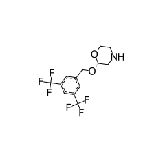 FC(F)(F)c1cc(CO[C@H]2CNCCO2)cc(C(F)(F)F)c1